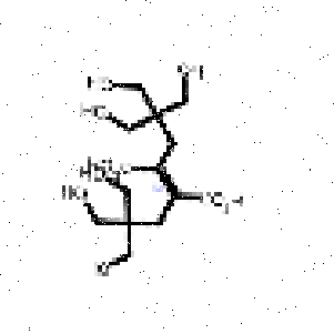 O=C(O)/C(CC(CO)(CO)CO)=C(\CC(CO)(CO)CO)C(=O)O